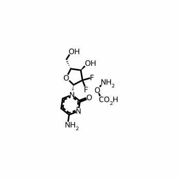 NOC(=O)O.Nc1ccn([C@@H]2O[C@H](CO)[C@@H](O)C2(F)F)c(=O)n1